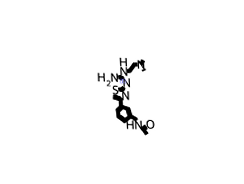 CC(=O)NCc1cccc(-c2csc(/N=C(\N)NCCN(C)C)n2)c1